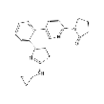 O=C1CCCN1c1ccc(-c2ccccc2-c2csc(NC3CC3)n2)cn1